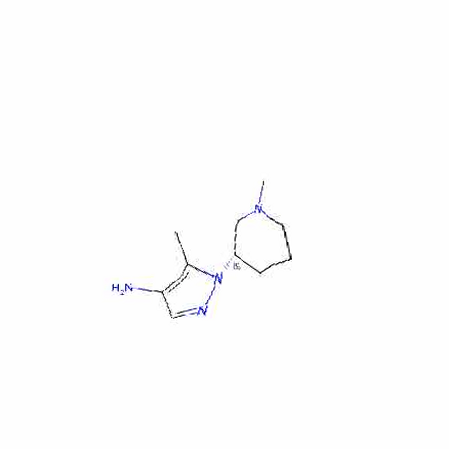 Cc1c(N)cnn1[C@H]1CCCN(C)C1